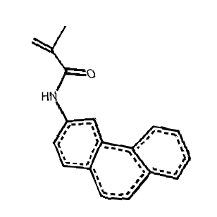 C=C(C)C(=O)Nc1ccc2ccc3ccccc3c2c1